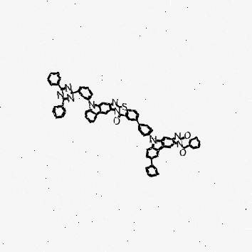 O=c1c2ccccc2oc2nc3cc4c(cc3n12)c1cc(-c2ccccc2)ccc1n4-c1ccc(-c2ccc3sc4nc5cc6c(cc5n4c(=O)c3c2)c2ccccc2n6-c2cccc(-c3nc(-c4ccccc4)nc(-c4ccccc4)n3)c2)cc1